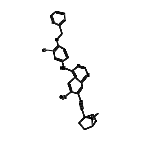 CN1C2CCC1(C#Cc1cc3ncnc(Nc4ccc(OCc5ccccn5)c(Cl)c4)c3cc1[N+](=O)[O-])CC2